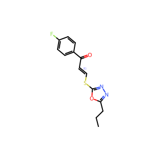 CCCc1nnc(S/C=C/C(=O)c2ccc(F)cc2)o1